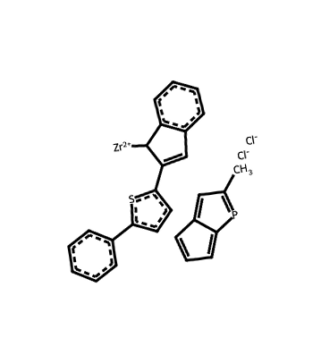 CC1=PC2=CC=CC2=C1.[Cl-].[Cl-].[Zr+2][CH]1C(c2ccc(-c3ccccc3)s2)=Cc2ccccc21